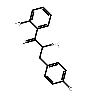 NC(Cc1ccc(O)cc1)C(=O)c1ccccc1O